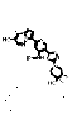 CC(C)Nc1cc(-c2ccc3cc(C#N)cnn23)ncc1-c1nnc(N2CC[C@](C)(O)[C@H](F)C2)s1